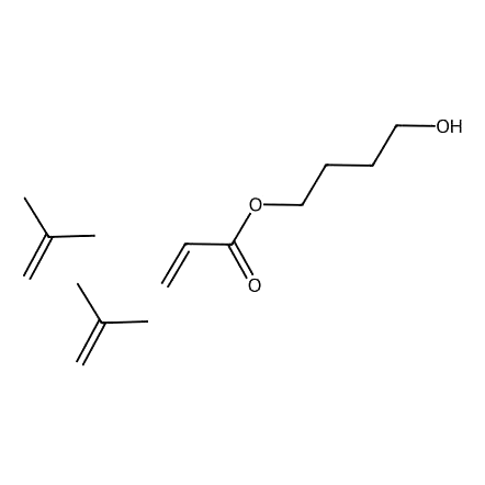 C=C(C)C.C=C(C)C.C=CC(=O)OCCCCO